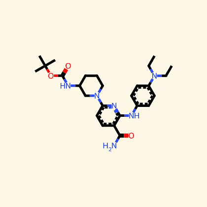 CCN(CC)c1ccc(Nc2nc(N3CCCC(NC(=O)OC(C)(C)C)C3)ccc2C(N)=O)cc1